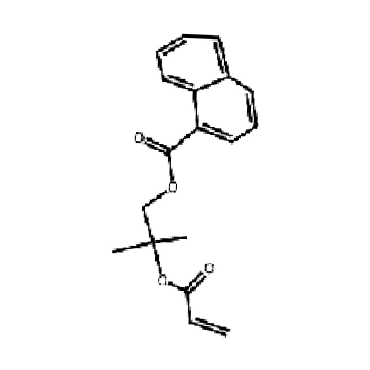 C=CC(=O)OC(C)(C)COC(=O)c1cccc2ccccc12